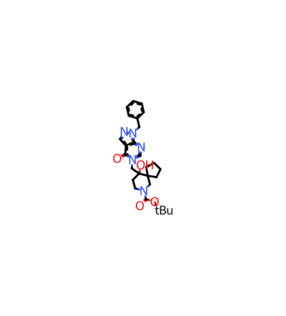 CC(C)(C)OC(=O)N1CCC(O)(Cn2cnc3c(cnn3Cc3ccccc3)c2=O)C2(CCCC2)C1